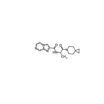 CC(NC(=O)c1cn2ccncc2n1)C(=O)N1CCC2(CC1)CC2